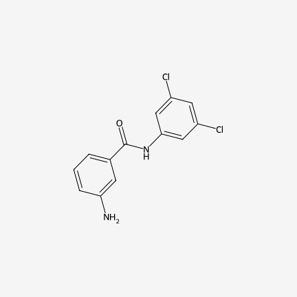 Nc1cccc(C(=O)Nc2cc(Cl)cc(Cl)c2)c1